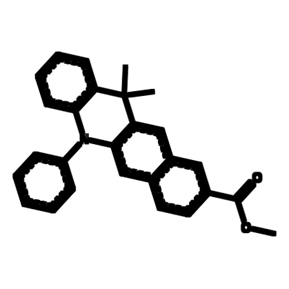 COC(=O)c1ccc2cc3c(cc2c1)C(C)(C)c1ccccc1N3c1ccccc1